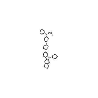 CN(c1ccccc1)c1ccc(-c2ccc(-c3ccc4c5cc6ccccc6cc5n(-c5ccccc5)c4c3)cc2)cc1